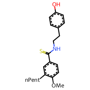 CCCCCc1cc(C(=S)NCCc2ccc(O)cc2)ccc1OC